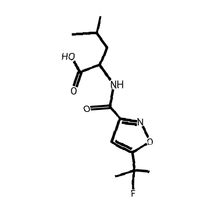 CC(C)CC(NC(=O)c1cc(C(C)(C)F)on1)C(=O)O